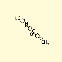 CCOc1ccc(C(=O)Oc2ccc(N=Nc3ccc(C)cc3)cc2)cc1